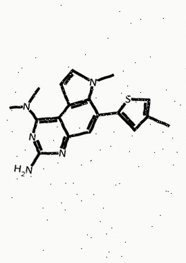 Cc1csc(-c2cc3nc(N)nc(N(C)C)c3c3ccn(C)c23)c1